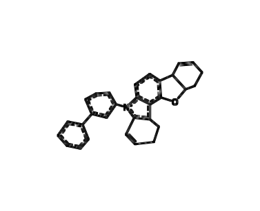 C1=Cc2c(c3c4c(ccc3n2-c2cccc(-c3ccccc3)c2)C2C=CCCC2O4)CC1